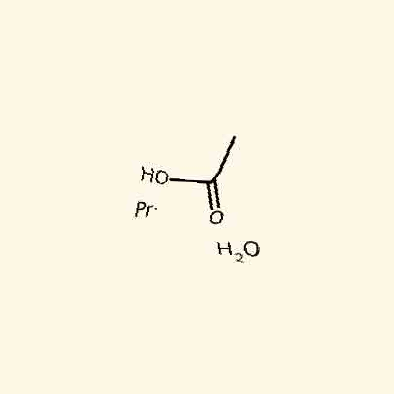 CC(=O)O.O.[Pr]